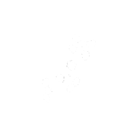 c1ccc2c(c1)-c1ccccc1C21c2ccccc2-c2c(-c3ccc(N(c4ccc(-c5cccc6c5oc5ccccc56)cc4)c4cccc5ccccc45)cc3)cccc21